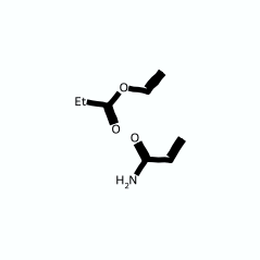 C=CC(N)=O.C=COC(=O)CC